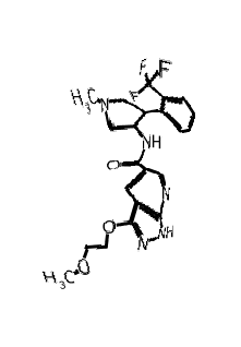 COCCOc1n[nH]c2ncc(C(=O)NC3CN(C)CC3c3ccccc3C(F)(F)F)cc12